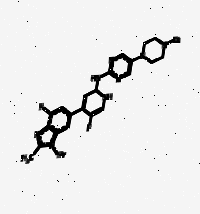 CCN1CCN(c2cnc(NC3C=C(c4cc(F)c5nc(C)n(C(C)C)c5c4)C(F)=CN3)nc2)CC1